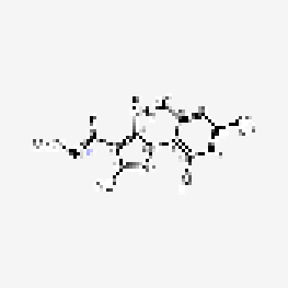 CO/N=C(\C)c1c(C#N)nn(-c2c(Cl)cc(C(F)(F)F)cc2Cl)c1N